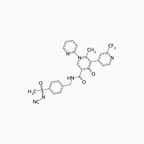 Cc1c(-c2ccnc(C(F)(F)F)c2)c(=O)c(C(=O)NCc2ccc(S(C)(=O)=NC#N)cc2)cn1-c1ccccn1